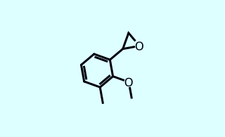 COc1c(C)cccc1C1CO1